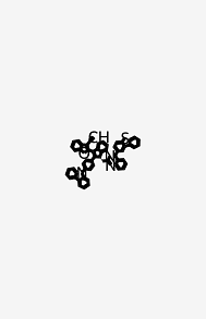 C#Cc1c(C2=C(c3ccc(-n4c5ccccc5c5ccccc54)cc3)[C@@H](Cc3nc(-c4ccc5sc6ccccc6c5c4)c4ccccc4n3)c3ccccc32)oc2ccccc12